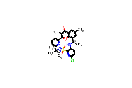 Cc1cc([C@@H](C)Nc2ccc(Cl)nc2S(=O)(=O)NC(C)(C)C)c2oc(-c3ccccn3)c(C)c(=O)c2c1